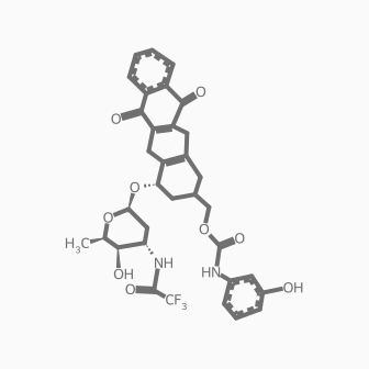 C[C@H]1O[C@@H](O[C@H]2CC(COC(=O)Nc3cccc(O)c3)CC3=C2CC2=C(C3)C(=O)c3ccccc3C2=O)C[C@H](NC(=O)C(F)(F)F)[C@H]1O